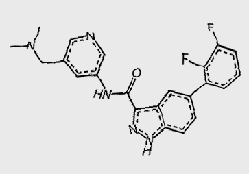 CN(C)Cc1cncc(NC(=O)c2n[nH]c3ccc(-c4cccc(F)c4F)cc23)c1